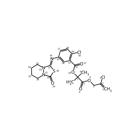 C=C(Cl)COC(=O)C(C)(C)OC(=O)c1cc(N=c2sc(=O)n3n2CCCC3)ccc1Cl